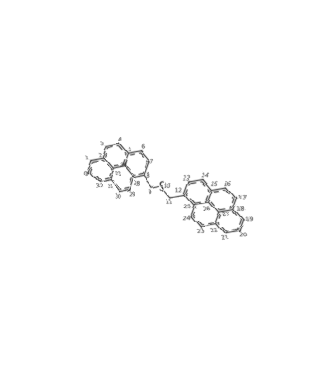 c1cc2ccc3ccc(CSCc4ccc5ccc6cccc7ccc4c5c67)c4ccc(c1)c2c34